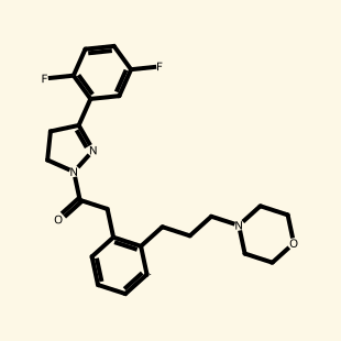 O=C(Cc1ccc[c]c1CCCN1CCOCC1)N1CCC(c2cc(F)ccc2F)=N1